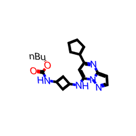 CCCCOC(=O)NC1CC(Nc2cc(C3CCCC3)nc3ccnn23)C1